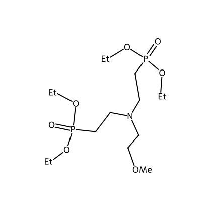 CCOP(=O)(CCN(CCOC)CCP(=O)(OCC)OCC)OCC